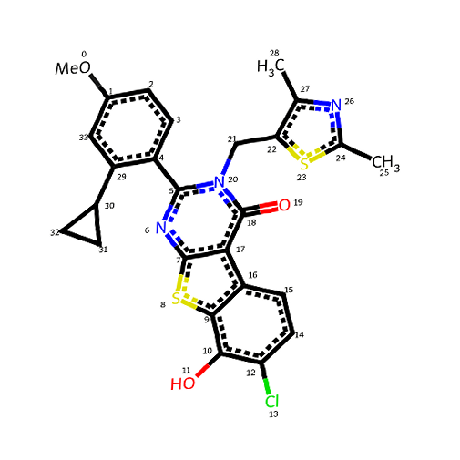 COc1ccc(-c2nc3sc4c(O)c(Cl)ccc4c3c(=O)n2Cc2sc(C)nc2C)c(C2CC2)c1